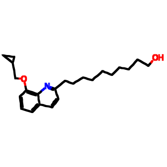 OCCCCCCCCCCc1ccc2cccc(OCC3CC3)c2n1